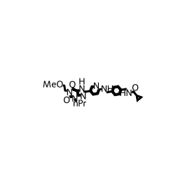 CCCn1c(=O)n(CCOC)c(=O)c2[nH]c(-c3ccc(NCc4ccc(CNC(=O)C5CC5)cc4)nc3)nc21